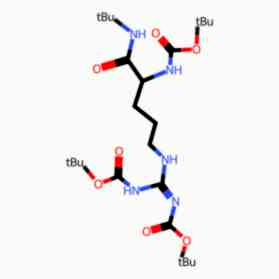 CC(C)(C)NC(=O)C(CCCN/C(=N/C(=O)OC(C)(C)C)NC(=O)OC(C)(C)C)NC(=O)OC(C)(C)C